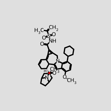 C=C(C)S(=O)(=O)NC(=O)C1=C2Cn3c(cc4c(OC)ccc(C5CCCCC5)c43)C3C(=C21)C=CC[C@H]3C(=O)N1C2CCC1CN(C)C2